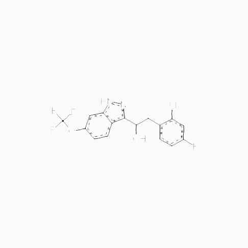 OC(Cc1ccc(F)cc1Cl)c1n[nH]c2cc(OC(F)(F)F)ccc12